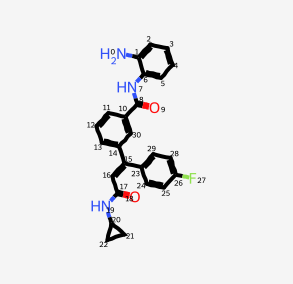 Nc1ccccc1NC(=O)c1cccc(C(=CC(=O)NC2CC2)c2ccc(F)cc2)c1